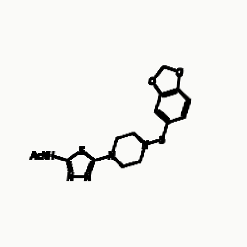 CC(=O)Nc1nnc(N2CCN(Sc3ccc4c(c3)OCO4)CC2)s1